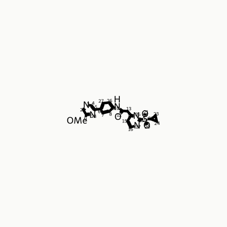 COc1cncc(-c2ccc(NC(=O)Cc3ccnc(S(=O)(=O)C4CC4)n3)cc2)n1